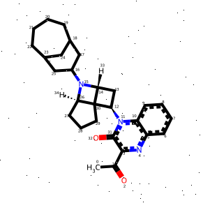 CC(=O)c1nc2ccccc2n([C@@H]2C[C@H]3N(C4CC5CCCCC(C5)C4)[C@@H]4CCCC432)c1=O